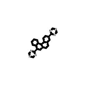 c1ccc2c(c1)c(-c1ncncn1)cc1ccc3cc(-c4ncncn4)ccc3c12